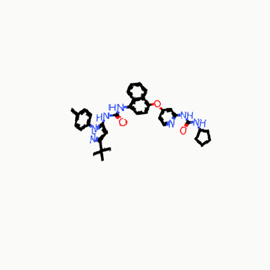 Cc1ccc(-n2nc(C(C)(C)C)cc2NC(=O)Nc2ccc(Oc3ccnc(NC(=O)NC4CCCC4)c3)c3ccccc23)cc1